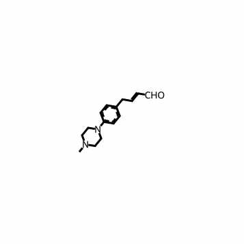 CN1CCN(c2ccc(CC=CC=O)cc2)CC1